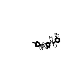 Cc1ccc(S(=O)(=O)Nc2ccc(NC(=O)c3cccc(Br)c3)cc2)cc1